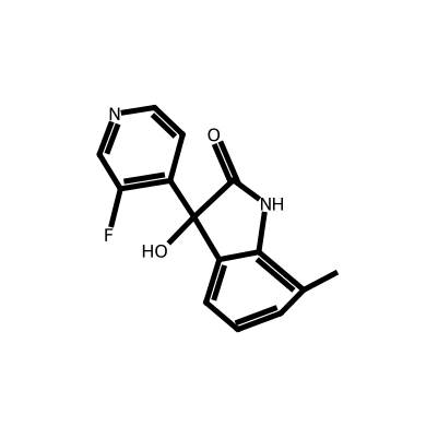 Cc1cccc2c1NC(=O)C2(O)c1ccncc1F